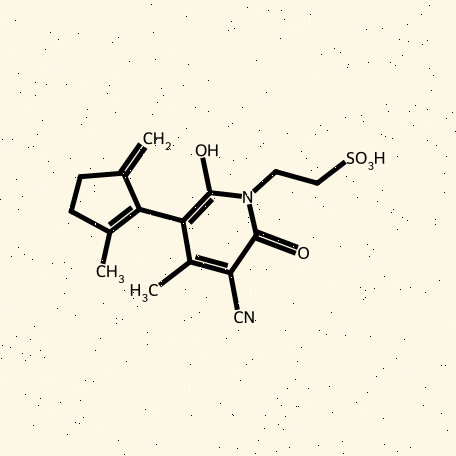 C=C1CCC(C)=C1c1c(C)c(C#N)c(=O)n(CCS(=O)(=O)O)c1O